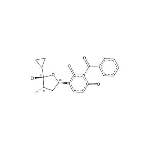 CC[C@@]1(C2CC2)O[C@@H](n2ccc(=O)n(C(=O)c3ccccc3)c2=O)C[C@@H]1C